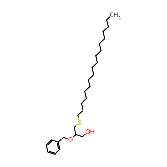 CCCCCCCCCCCCCCCCCCSCC(CO)OCc1ccccc1